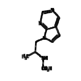 CC(Cn1ccc2cncnc21)NC(=O)O